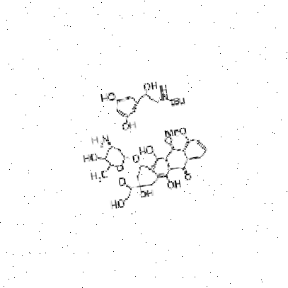 CC(C)(C)NCC(O)c1cc(O)cc(O)c1.COc1cccc2c1C(=O)c1c(O)c3c(c(O)c1C2=O)C[C@@](O)(C(=O)CO)C[C@@H]3O[C@H]1C[C@H](N)[C@H](O)[C@H](C)O1